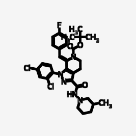 CC1CCCN(NC(=O)c2nn(-c3ccc(Cl)cc3Cl)c3c2CCN(C(=O)OC(C)(C)C)/C3=C\c2ccc(F)cc2)C1